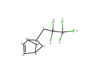 FC(F)(F)C(F)(F)CC1CC2C=CC1C2